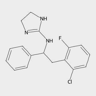 Fc1cccc(Cl)c1CC(NC1=NCCN1)c1ccccc1